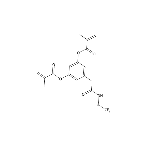 C=C(C)C(=O)Oc1cc(CC(=O)NSC(F)(F)F)cc(OC(=O)C(=C)C)c1